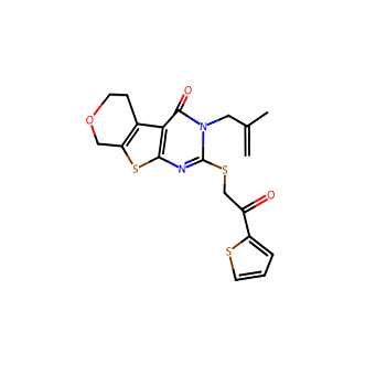 C=C(C)Cn1c(SCC(=O)c2cccs2)nc2sc3c(c2c1=O)CCOC3